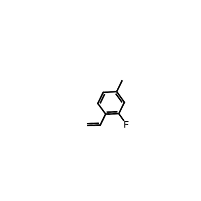 C=Cc1ccc(C)cc1F